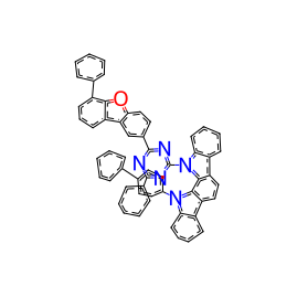 c1ccc(-c2ccc(-n3c4ccccc4c4ccc5c6ccccc6n(-c6nc(-c7ccccc7)nc(-c7ccc8oc9c(-c%10ccccc%10)cccc9c8c7)n6)c5c43)cc2)cc1